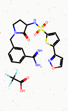 N=C(N)c1cccc(CN2CCC(NS(=O)(=O)c3ccc(-c4ccon4)s3)C2=O)c1.O=C(O)C(F)(F)F